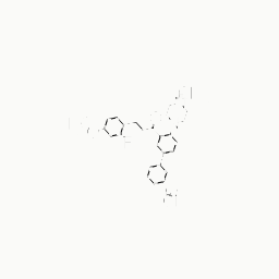 COc1cccc(-c2ccc(N3CCN(C)CC3)c(C(=O)C=Cc3ccc(OC)cc3F)c2)c1